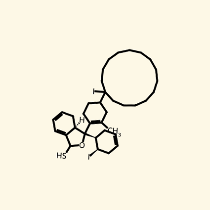 CC1=C(C2([C@H]3CC=CC[C@H]3I)OC(S)C3=CC=CC[C@H]32)CCC(C2(I)CCCCCCCCCCCCCC2)C1